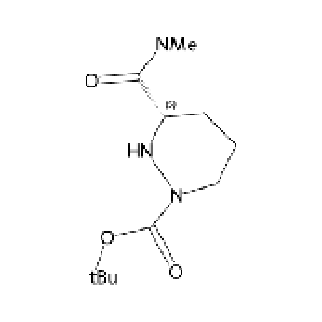 CNC(=O)[C@@H]1CCCN(C(=O)OC(C)(C)C)N1